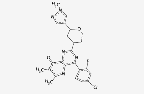 Cc1nc2c(-c3ccc(Cl)cc3F)nc(C3CCOC(c4cnn(C)c4)C3)nc2c(=O)n1C